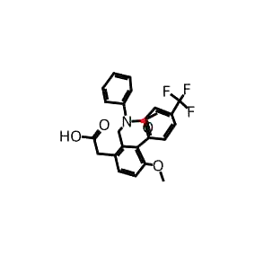 COc1ccc(CC(=O)O)c(CN(C(C)=O)c2ccccc2)c1-c1ccc(C(F)(F)F)cc1